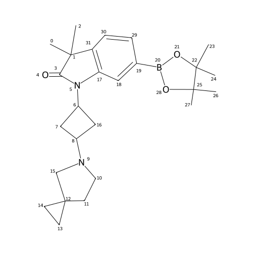 CC1(C)C(=O)N(C2CC(N3CCC4(CC4)C3)C2)c2cc(B3OC(C)(C)C(C)(C)O3)ccc21